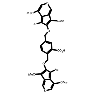 COc1cocc2c(OC)c(OCc3ccc(COc4c(OC)c5cocc(OC)c-5c4C(C)=O)c(C(=O)O)c3)c(C(C)=O)c1-2